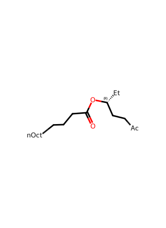 CCCCCCCCCCCC(=O)O[C@H](CC)CCC(C)=O